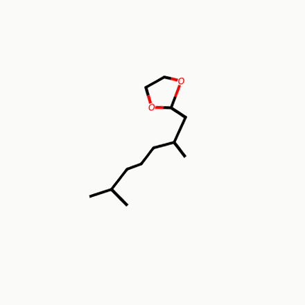 CC(C)CCCC(C)CC1OCCO1